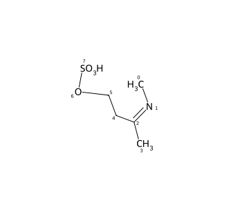 C/N=C(/C)CCOS(=O)(=O)O